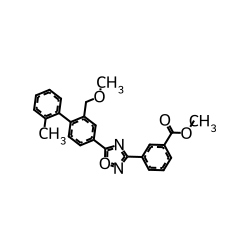 COCc1cc(-c2nc(-c3cccc(C(=O)OC)c3)no2)ccc1-c1ccccc1C